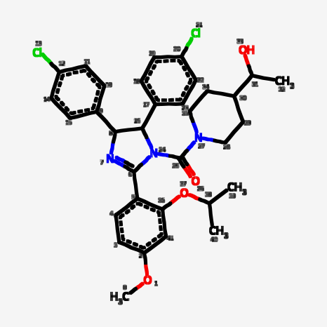 COc1ccc(C2=NC(c3ccc(Cl)cc3)C(c3ccc(Cl)cc3)N2C(=O)N2CCC(C(C)O)CC2)c(OC(C)C)c1